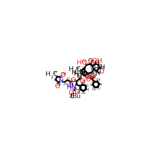 CC(=O)O[C@@]12CO[C@@H]1C[C@H](O)[C@@]1(C)C(=O)[C@H](O)C3=C(C)[C@H](OC(=O)[C@H](OC(=O)CCN4C(=O)CC(C)C4=O)[C@@H](NC(=O)OC(C)(C)C)c4ccccc4)C[C@@](O)([C@@H](OC(=O)c4ccccc4)[C@@H]21)C3(C)C